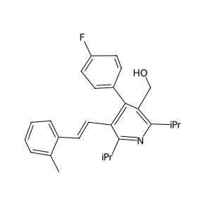 Cc1ccccc1C=Cc1c(C(C)C)nc(C(C)C)c(CO)c1-c1ccc(F)cc1